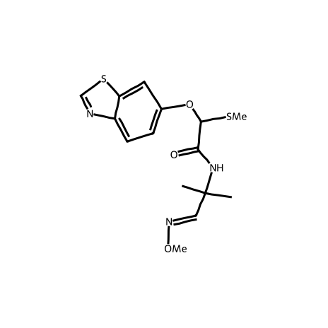 CON=CC(C)(C)NC(=O)C(Oc1ccc2ncsc2c1)SC